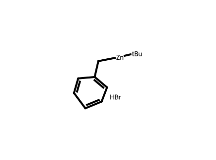 Br.C[C](C)(C)[Zn][CH2]c1ccccc1